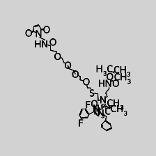 CC(C)(C)OC(=O)NCCCN(C(=O)CSCCOCCOCCOCCOCCC(=O)NCCN1C(=O)C=CC1=O)[C@@H](c1nc(-c2cc(F)ccc2F)cn1Cc1ccccc1)C(C)(C)C